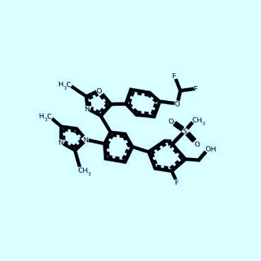 Cc1cn(-c2ccc(-c3cc(F)c(CO)c(S(C)(=O)=O)c3)cc2-c2nc(C)oc2-c2ccc(OC(F)F)cc2)c(C)n1